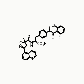 CC1(C(=O)NC(Cc2ccc(NC(=O)c3c(Cl)cccc3Cl)cc2)C(=O)O)CC(c2cccc3ncccc23)=NO1